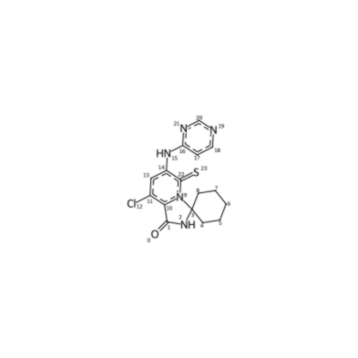 O=C1NC2(CCCCC2)n2c1c(Cl)cc(Nc1ccncn1)c2=S